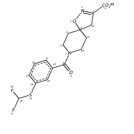 O=C(O)C1=NOC2(CCN(C(=O)c3cccc(SC(F)F)c3)CC2)C1